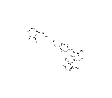 CN1CCN=C(NCCCCOc2ccc(C[C@H](NC(=O)c3c(Cl)cccc3Cl)C(=O)O)cc2)C1=O